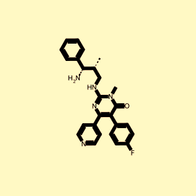 C[C@H](CNc1nc(-c2ccncc2)c(-c2ccc(F)cc2)c(=O)n1C)[C@H](N)c1ccccc1